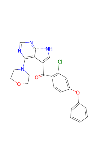 O=C(c1ccc(Oc2ccccc2)cc1Cl)c1c[nH]c2ncnc(N3CCOCC3)c12